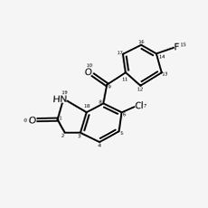 O=C1Cc2ccc(Cl)c(C(=O)c3ccc(F)cc3)c2N1